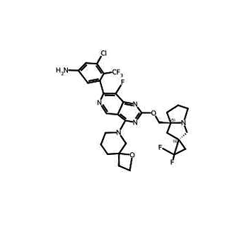 Nc1cc(Cl)c(C(F)(F)F)c(-c2ncc3c(N4CCCC5(CCO5)C4)nc(OC[C@@]45CCCN4C[C@@]4(CC4(F)F)C5)nc3c2F)c1